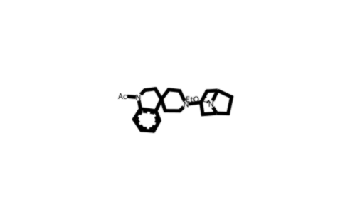 CCOC(=O)N1C2CCC1CC(N1CCC3(CCN(C(C)=O)c4ccccc43)CC1)C2